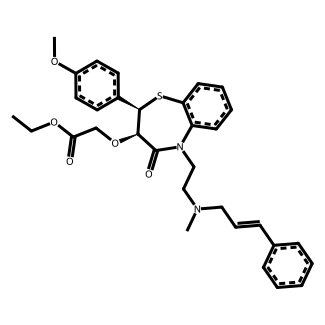 CCOC(=O)CO[C@@H]1C(=O)N(CCN(C)C/C=C/c2ccccc2)c2ccccc2S[C@@H]1c1ccc(OC)cc1